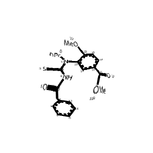 CCCN(C(=S)NC(=O)c1ccccc1)c1cc(C(=O)OC)ccc1OC